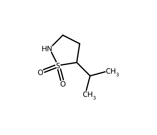 CC(C)C1CCNS1(=O)=O